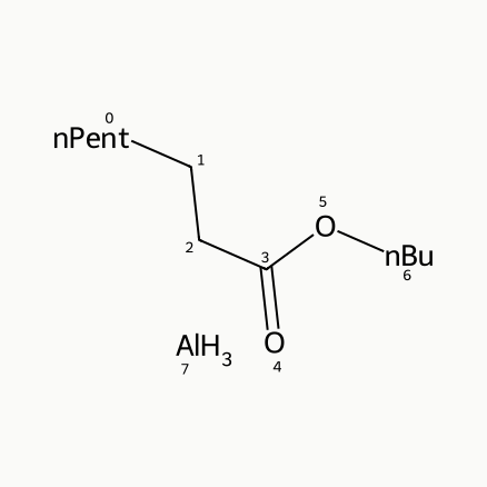 CCCCCCCC(=O)OCCCC.[AlH3]